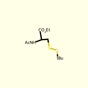 CCOC(=O)C(CSSC(C)(C)C)NC(C)=O